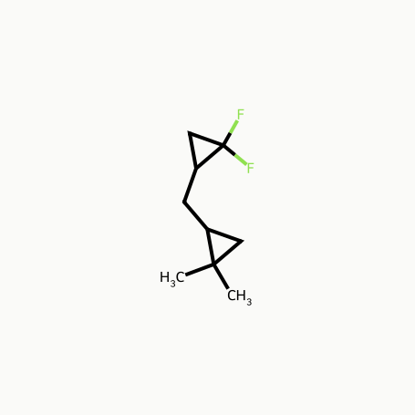 CC1(C)CC1CC1CC1(F)F